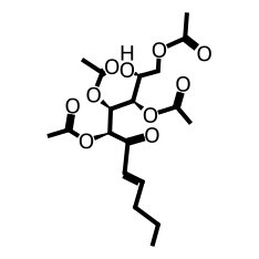 CCC/C=C/C(=O)[C@@H](OC(C)=O)[C@@H](OC(C)=O)[C@H](OC(C)=O)[C@H](O)COC(C)=O